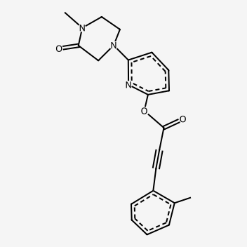 Cc1ccccc1C#CC(=O)Oc1cccc(N2CCN(C)C(=O)C2)n1